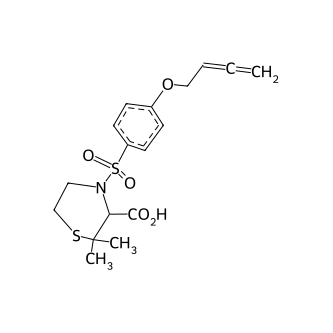 C=C=CCOc1ccc(S(=O)(=O)N2CCSC(C)(C)C2C(=O)O)cc1